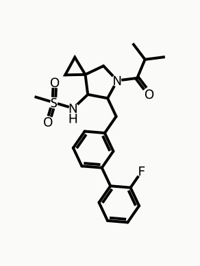 CC(C)C(=O)N1CC2(CC2)C(NS(C)(=O)=O)C1Cc1cccc(-c2ccccc2F)c1